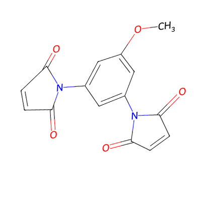 COc1cc(N2C(=O)C=CC2=O)cc(N2C(=O)C=CC2=O)c1